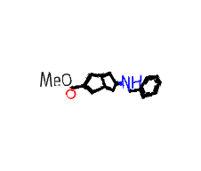 COC(=O)C1CC2CC(NCc3ccccc3)CC2C1